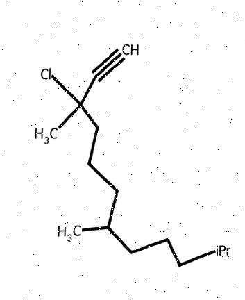 C#CC(C)(Cl)CCCC(C)CCCC(C)C